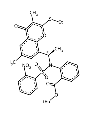 CCSc1oc2c([C@@H](C)N(c3ccccc3C(=O)OC(C)(C)C)S(=O)(=O)c3ccccc3[N+](=O)[O-])cc(C)cc2c(=O)c1C